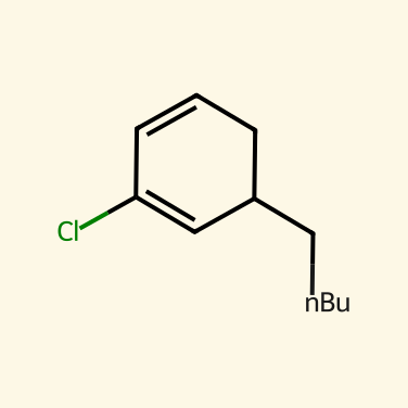 CCCCCC1C=C(Cl)C=CC1